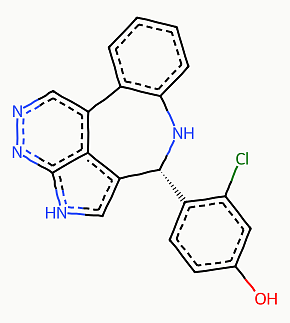 Oc1ccc([C@H]2Nc3ccccc3-c3cnnc4[nH]cc2c34)c(Cl)c1